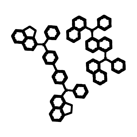 c1ccc(N(c2ccc(-c3ccc(N(c4ccccc4)c4ccc5cccc6c5c4CC6)cc3)cc2)c2ccc3cccc4c3c2CC4)cc1.c1ccc(N(c2cccc3ccccc23)c2cccc3c(N(c4ccccc4)c4cccc5ccccc45)cccc23)cc1